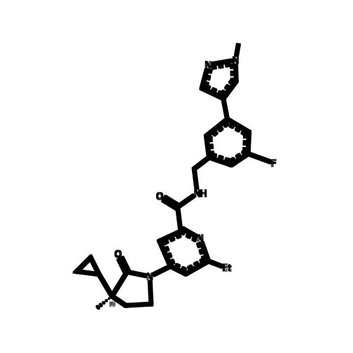 CCc1cc(N2CC[C@@](C)(C3CC3)C2=O)cc(C(=O)NCc2cc(F)cc(-c3cnn(C)c3)c2)n1